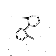 C=c1ccccc1=c1ccccc1=C